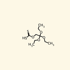 CCOC(COC(=S)S)(OCC)OCC